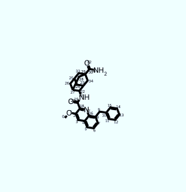 COc1cc2cccc(Cc3ccccc3)c2nc1C(=O)NC1C2CC3CC1CC(C(N)=O)(C3)C2